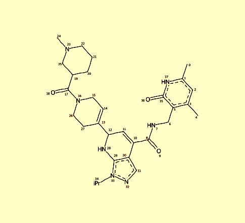 Cc1cc(C)c(CNC(=O)C2=CC(C3=CCN(C(=O)C4CCCN(C)C4)CC3)Nc3c2cnn3C(C)C)c(=O)[nH]1